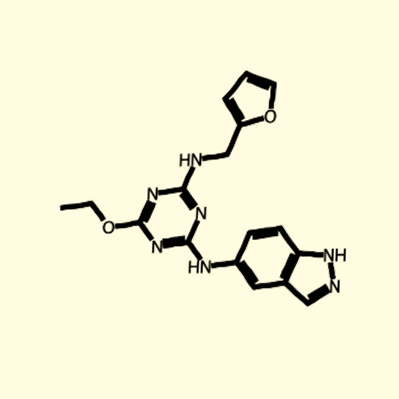 CCOc1nc(NCc2ccco2)nc(Nc2ccc3[nH]ncc3c2)n1